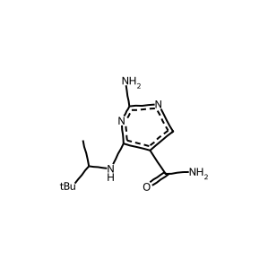 CC(Nc1nc(N)ncc1C(N)=O)C(C)(C)C